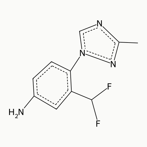 Cc1ncn(-c2ccc(N)cc2C(F)F)n1